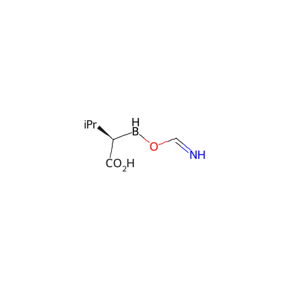 CC(C)[C@@H](BOC=N)C(=O)O